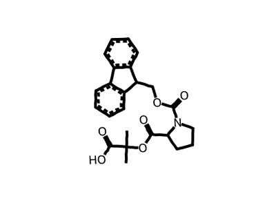 CC(C)(OC(=O)C1CCCN1C(=O)OCC1c2ccccc2-c2ccccc21)C(=O)O